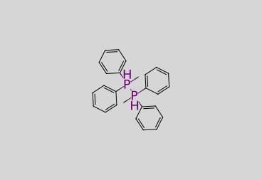 C[PH](c1ccccc1)(c1ccccc1)[PH](C)(c1ccccc1)c1ccccc1